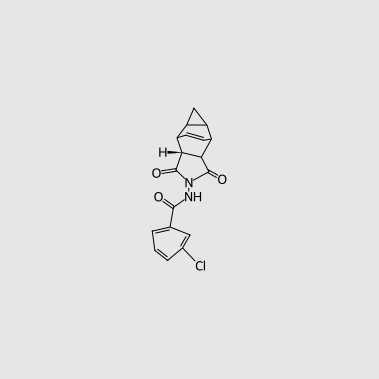 O=C(NN1C(=O)C2C3C=CC(C4CC34)[C@H]2C1=O)c1cccc(Cl)c1